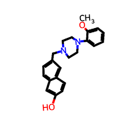 COc1ccccc1N1CCN(Cc2ccc3cc(O)ccc3c2)CC1